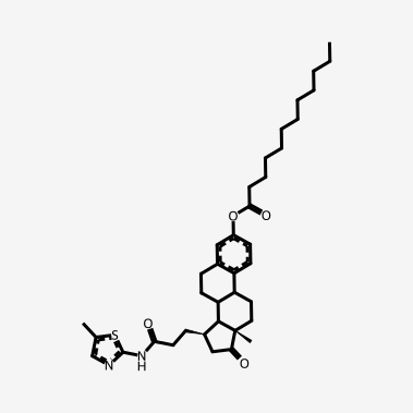 CCCCCCCCCCCC(=O)Oc1ccc2c(c1)CCC1C2CC[C@]2(C)C(=O)C[C@@H](CCC(=O)Nc3ncc(C)s3)C12